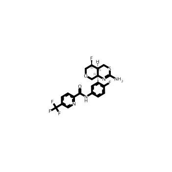 NC1=N[C@@]2(c3cc(NC(=O)c4ccc(C(F)(F)F)cn4)ccc3F)COC[C@@H](F)[C@H]2CS1